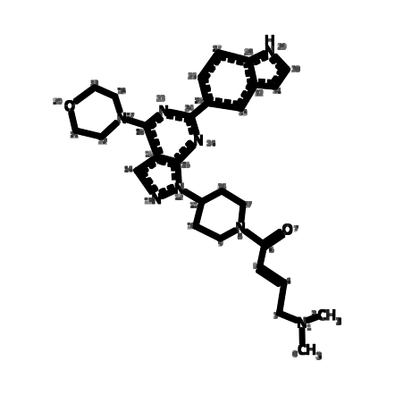 CN(C)C/C=C/C(=O)N1CCC(n2ncc3c(N4CCOCC4)nc(-c4ccc5[nH]ccc5c4)nc32)CC1